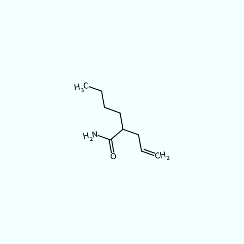 C=CCC(CCCC)C(N)=O